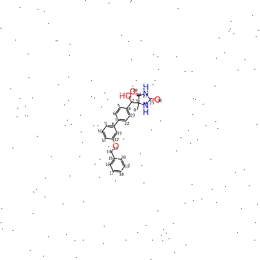 CC1(C(O)c2ccc(-c3cccc(OCc4ccccc4)c3)cc2)NC(=O)NC1=O